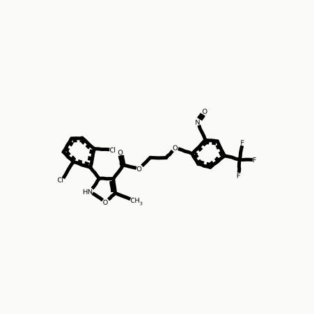 CC1=C(C(=O)OCCOc2ccc(C(F)(F)F)cc2N=O)C(c2c(Cl)cccc2Cl)NO1